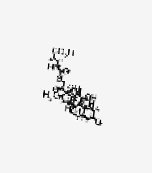 C[C@@H]1C[C@H]2[C@@H]3CCC4=CC(=O)C=C[C@]4(C)[C@@]3(F)[C@@H](O)C[C@]2(C)[C@@]1(O)C(=O)COC(=O)NCCC(=O)O